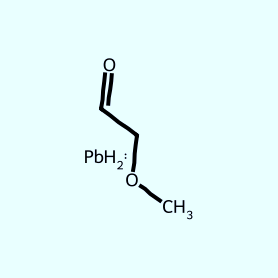 COCC=O.[PbH2]